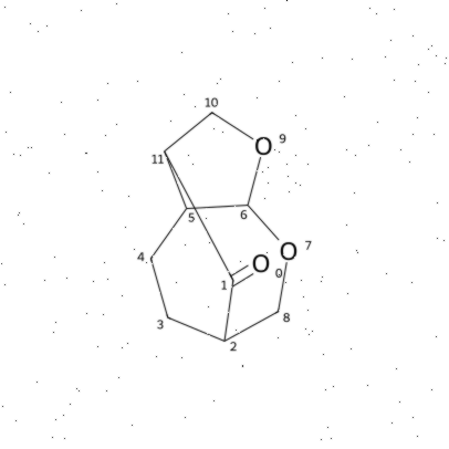 O=C1C2CCC3C(OC2)OCC13